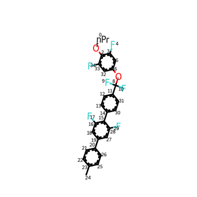 CCCOc1c(F)cc(OC(F)(F)c2ccc(-c3c(F)cc(-c4ccc(C)cc4)cc3F)cc2)cc1F